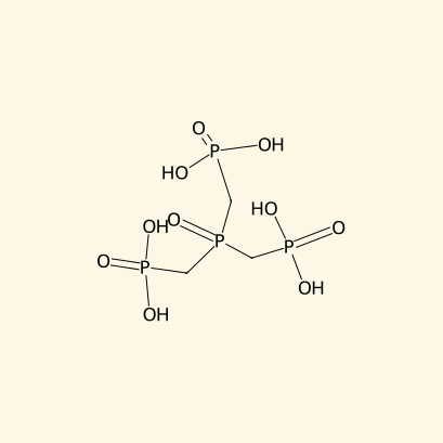 O=P(O)(O)CP(=O)(CP(=O)(O)O)CP(=O)(O)O